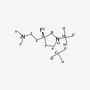 CN(C)CC[C@@]1(F)C[C@@H](C(C)(C)C)N(C(C)(C)C)C1